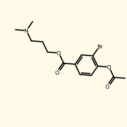 CC(=O)Oc1ccc(C(=O)OCCCN(C)C)cc1Br